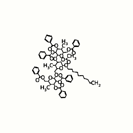 C=CCCCCCCCCOC1OC(COC2OC(COC(=O)c3ccccc3)C(C)C(OC(=O)c3ccccc3)C2OC(=O)c2ccccc2)C(C)C(OC2OC(COC(=O)c3ccccc3)C(C)C(OC(=O)c3ccccc3)C2OC(=O)c2ccccc2)C1OC(C)=O